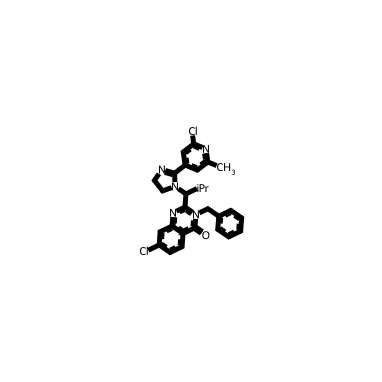 Cc1cc(C2=NCCN2C(c2nc3cc(Cl)ccc3c(=O)n2Cc2ccccc2)C(C)C)cc(Cl)n1